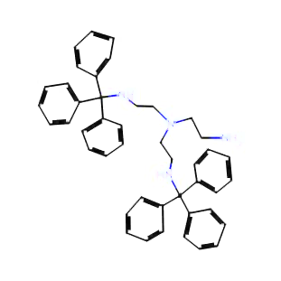 NCCN(CCNC(c1ccccc1)(c1ccccc1)c1ccccc1)CCNC(c1ccccc1)(c1ccccc1)c1ccccc1